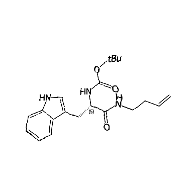 C=CCCNC(=O)[C@H](Cc1c[nH]c2ccccc12)NC(=O)OC(C)(C)C